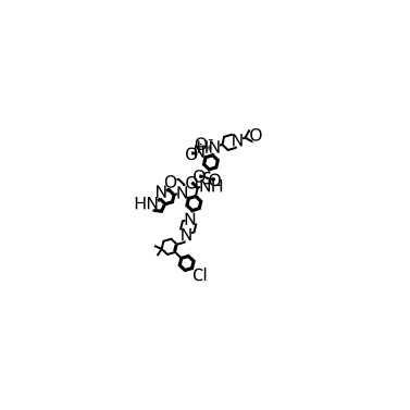 CC1(C)CCC(CN2CCN(c3ccc(C(=O)NS(=O)(=O)c4ccc(NC5CCN(C6COC6)CC5)c([N+](=O)[O-])c4)c(N4CCOc5nc6[nH]ccc6cc54)c3)CC2)=C(c2ccc(Cl)cc2)C1